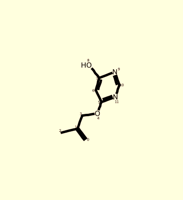 C=C(C)COc1cc(O)ncn1